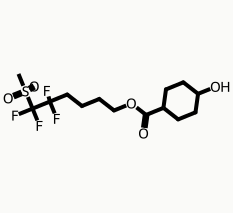 CS(=O)(=O)C(F)(F)C(F)(F)CCCCOC(=O)C1CCC(O)CC1